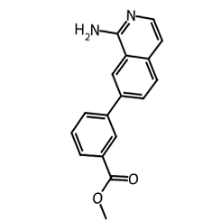 COC(=O)c1cccc(-c2ccc3ccnc(N)c3c2)c1